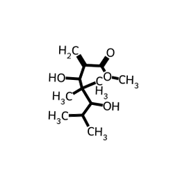 C=C(C(=O)OC)C(O)C(C)(C)C(O)C(C)C